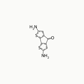 Nc1cc2c(s1)-c1sc(N)cc1C2=O